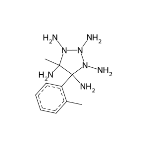 Cc1ccccc1C1(N)N(N)N(N)N(N)C1(C)N